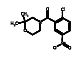 CC1(C)CN(C(=O)c2cc([N+](=O)[O-])ccc2Cl)CCO1